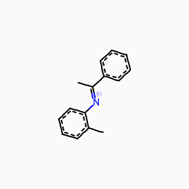 C/C(=N\c1ccccc1C)c1ccccc1